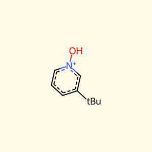 CC(C)(C)c1ccc[n+](O)c1